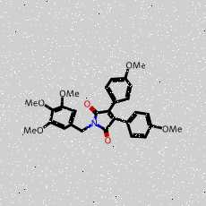 COc1ccc(C2=C(c3ccc(OC)cc3)C(=O)N(Cc3cc(OC)c(OC)c(OC)c3)C2=O)cc1